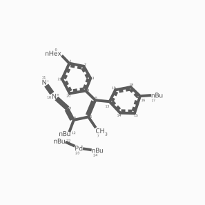 CCCCCCc1ccc(C(=C(C)C(=C=[N+]=[N-])CCCC)c2ccc(CCCC)cc2)cc1.CCC[CH2][Pd][CH2]CCC